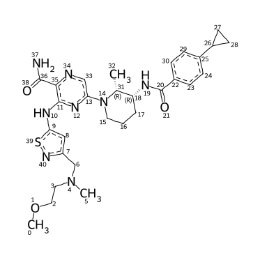 COCCN(C)Cc1cc(Nc2nc(N3CCC[C@@H](NC(=O)c4ccc(C5CC5)cc4)[C@H]3C)cnc2C(N)=O)sn1